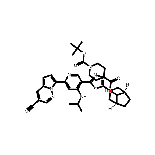 CC(C)Nc1cc(-c2ccc3cc(C#N)cnn23)ncc1-c1nnc(N2C[C@H]3CC[C@@H](C2)C3NC(=O)C2CCN(C(=O)OC(C)(C)C)CC2)s1